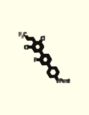 CCCCCC1CCC(c2ccc(-c3cc(Cl)c(/C=C/C(F)(F)F)c(Cl)c3)c(F)c2)CC1